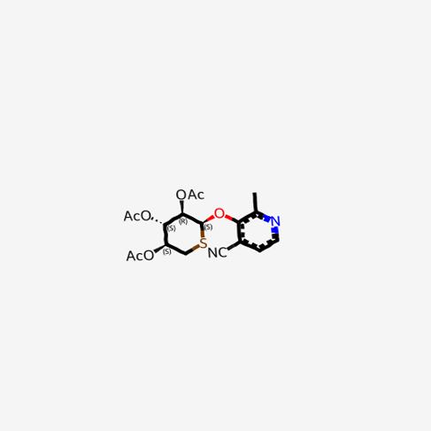 CC(=O)O[C@@H]1[C@@H](OC(C)=O)[C@@H](Oc2c(C#N)ccnc2C)SC[C@H]1OC(C)=O